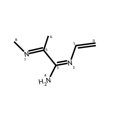 C=C/N=C(N)\C(C)=N\C